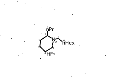 CCCCCCCN1CCCCC1CCC.F